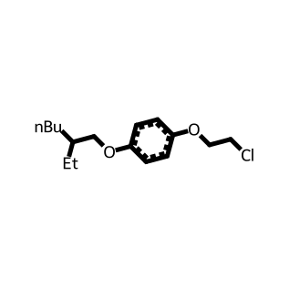 CCCCC(CC)COc1ccc(OCCCl)cc1